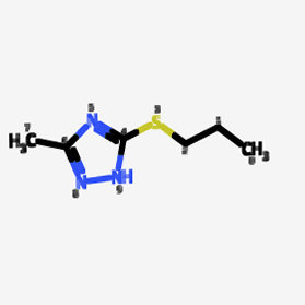 CCCSc1nc(C)n[nH]1